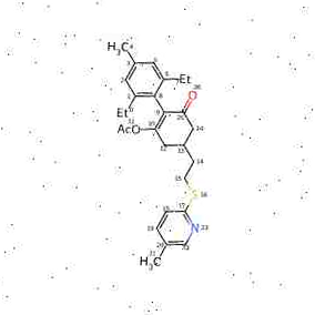 CCc1cc(C)cc(CC)c1C1=C(OC(C)=O)CC(CCSc2ccc(C)cn2)CC1=O